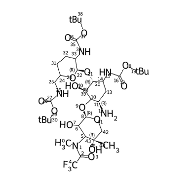 CN(C(=O)C(F)(F)F)C1C(O)[C@@H](OC2[C@H](N)CC(NC(=O)OC(C)(C)C)[C@@H](O[C@H]3OC(CNC(=O)OC(C)(C)C)CCC3NC(=O)OC(C)(C)C)[C@@H]2O)OC[C@]1(C)O